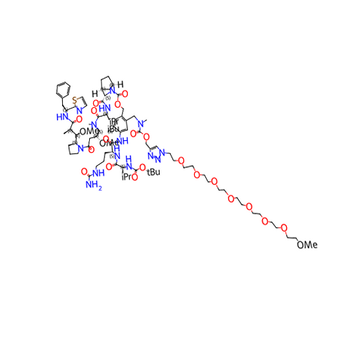 CC[C@H](C)[C@@H]([C@@H](CC(=O)N1CCC[C@H]1[C@H](OC)[C@@H](C)C(=O)N[C@@H](Cc1ccccc1)c1nccs1)OC)N(C)C(=O)[C@@H](NC(=O)[C@@H]1[C@H]2CC[C@H](C2)N1C(=O)OCc1ccc(NC(=O)[C@H](CCCNC(N)=O)NC(=O)[C@@H](NC(=O)OC(C)(C)C)C(C)C)cc1CN(C)C(=O)OCc1cn(CCOCCOCCOCCOCCOCCOCCOCCOC)nn1)C(C)C